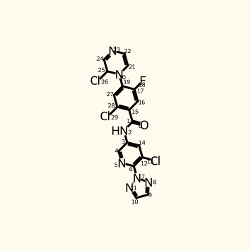 O=C(Nc1cnc(-n2nccn2)c(Cl)c1)c1cc(F)c(N2C=CN=CC2Cl)cc1Cl